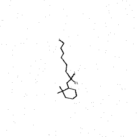 CCC(I)(CCCCCCI)CC1CCCCC1(C)C